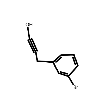 OC#CCc1cccc(Br)c1